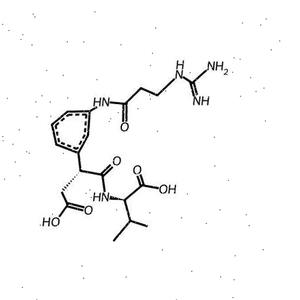 CC(C)[C@@H](NC(=O)[C@H](CC(=O)O)c1cccc(NC(=O)CCNC(=N)N)c1)C(=O)O